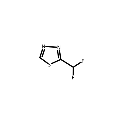 FC(F)c1nncs1